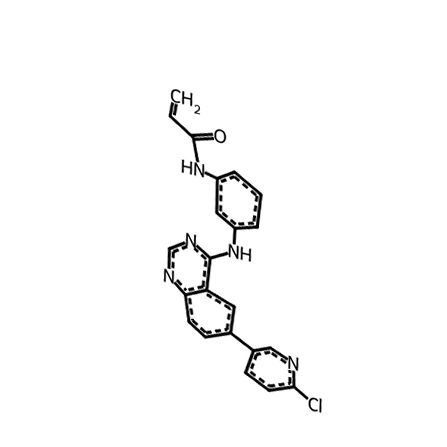 C=CC(=O)Nc1cccc(Nc2ncnc3ccc(-c4ccc(Cl)nc4)cc23)c1